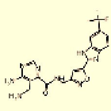 NCc1c(N)ncnc1C(=O)NCc1cc(-c2nc3ccc(C(F)(F)F)cc3[nH]2)on1